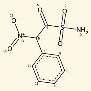 NS(=O)(=O)C(=O)C(c1ccccc1)[N+](=O)[O-]